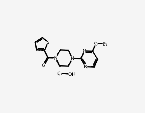 CCOc1ccnc(N2CCN(C(=O)c3cccs3)CC2)n1.OCl